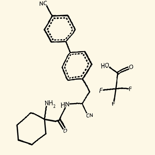 N#Cc1ccc(-c2ccc(CC(C#N)NC(=O)C3(N)CCCCC3)cc2)cc1.O=C(O)C(F)(F)F